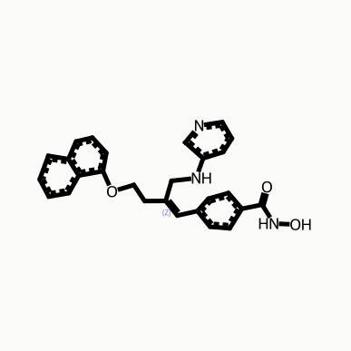 O=C(NO)c1ccc(/C=C(/CCOc2cccc3ccccc23)CNc2cccnc2)cc1